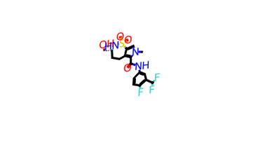 Cn1cc2c(c1C(=O)Nc1ccc(F)c(C(F)F)c1)CC[C@H](CO)NS2(=O)=O